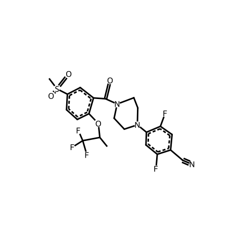 CC(Oc1ccc(S(C)(=O)=O)cc1C(=O)N1CCN(c2cc(F)c(C#N)cc2F)CC1)C(F)(F)F